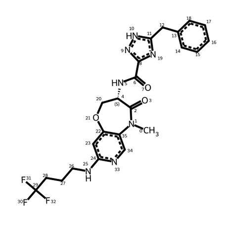 CN1C(=O)[C@@H](NC(=O)c2n[nH]c(Cc3ccccc3)n2)COc2cc(NCCCC(F)(F)F)ncc21